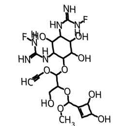 C#COC(OC1C(O)C(O)C(NC(=N)NF)C(O)C1NC(=N)NF)C(CO)OC(OC)C1=CC(O)C1O